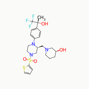 C[C@@](O)(c1ccc(N2CCN(S(=O)(=O)c3cccs3)C[C@@H]2CN2CCC[C@H](O)C2)cc1)C(F)(F)F